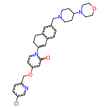 O=c1cc(OCc2ccc(Cl)cn2)ccn1C1=Cc2ccc(CN3CCC(N4CCOCC4)CC3)cc2CC1